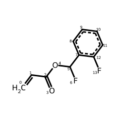 C=CC(=O)OC(F)c1ccccc1F